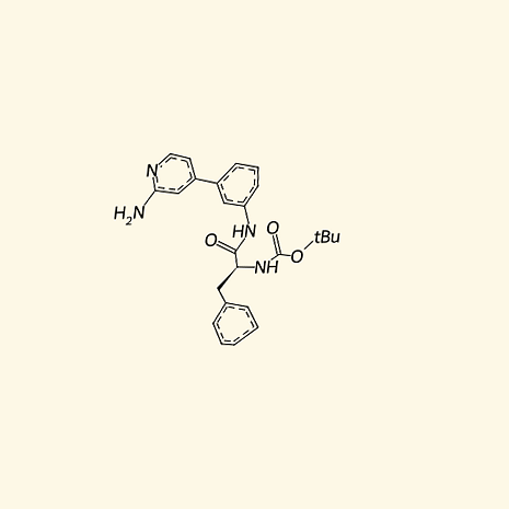 CC(C)(C)OC(=O)N[C@@H](Cc1ccccc1)C(=O)Nc1cccc(-c2ccnc(N)c2)c1